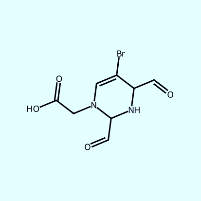 O=CC1NC(C=O)N(CC(=O)O)C=C1Br